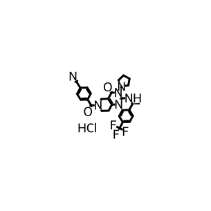 C[C@H](Nc1nc2c(c(=O)n1N1CCCC1)CN(C(=O)c1ccc(C#N)cc1)CC2)c1ccc(C(F)(F)F)cc1.Cl